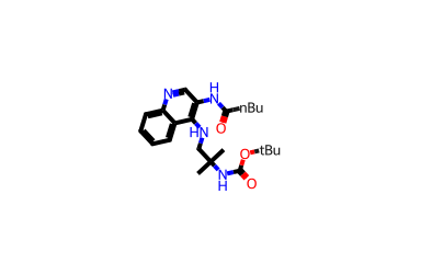 CCCCC(=O)Nc1cnc2ccccc2c1NCC(C)(C)NC(=O)OC(C)(C)C